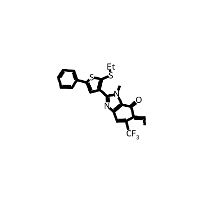 C/C=C1/C(=O)c2c(nc(-c3cc(-c4ccccc4)sc3SCC)n2C)C=C1C(F)(F)F